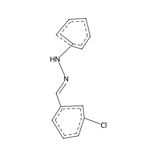 Clc1cccc(C=NNc2ccccc2)c1